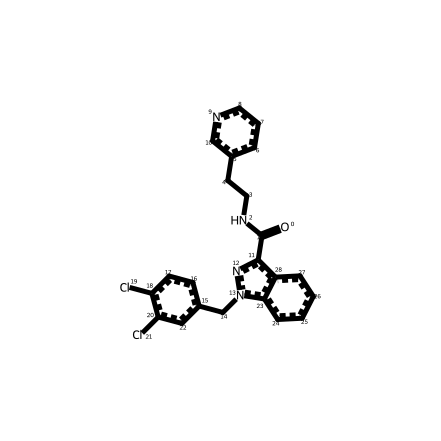 O=C(NCCc1cccnc1)c1nn(Cc2ccc(Cl)c(Cl)c2)c2ccccc12